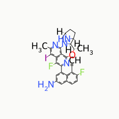 C#Cc1c(F)ccc2cc(N)cc(-c3nc4c5c(nc(C)c(I)c5c3F)N3C[C@H]5CC[C@H](N5)[C@H]3[C@H](C)O4)c12